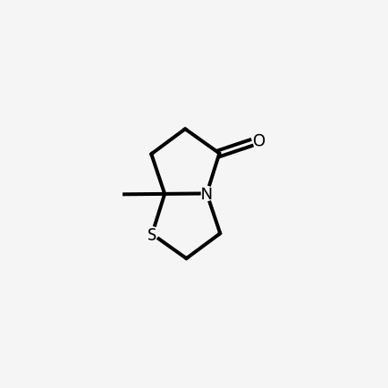 CC12CCC(=O)N1CCS2